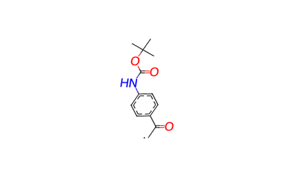 [CH2]C(=O)c1ccc(NC(=O)OC(C)(C)C)cc1